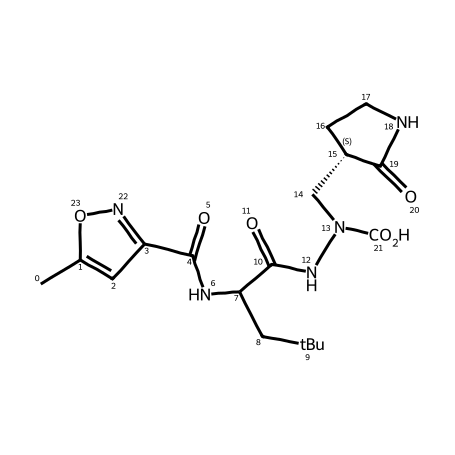 Cc1cc(C(=O)NC(CC(C)(C)C)C(=O)NN(C[C@@H]2CCNC2=O)C(=O)O)no1